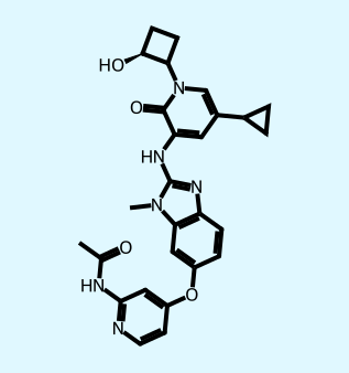 CC(=O)Nc1cc(Oc2ccc3nc(Nc4cc(C5CC5)cn(C5CC[C@@H]5O)c4=O)n(C)c3c2)ccn1